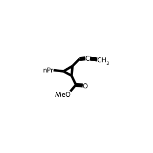 C=C=CC1C(CCC)C1C(=O)OC